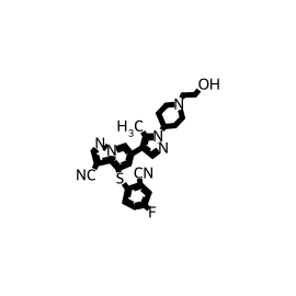 Cc1c(-c2cc(Sc3ccc(F)cc3C#N)c3c(C#N)cnn3c2)cnn1C1CCN(CCO)CC1